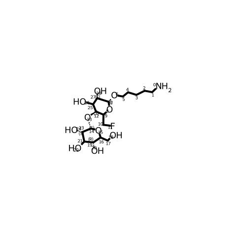 NCCCCCO[C@@H]1OC(CF)[C@@H](O[C@@H]2OC(CO)[C@H](O)C(O)[C@@H]2O)C(O)[C@@H]1O